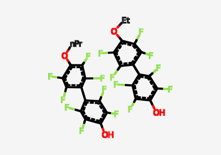 CCCOc1c(F)c(F)c(-c2c(F)c(F)c(O)c(F)c2F)c(F)c1F.CCOc1c(F)c(F)c(-c2c(F)c(F)c(O)c(F)c2F)c(F)c1F